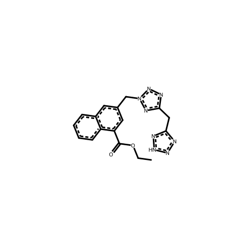 CCOC(=O)c1cc(Cn2nnc(Cc3nn[nH]n3)n2)cc2ccccc12